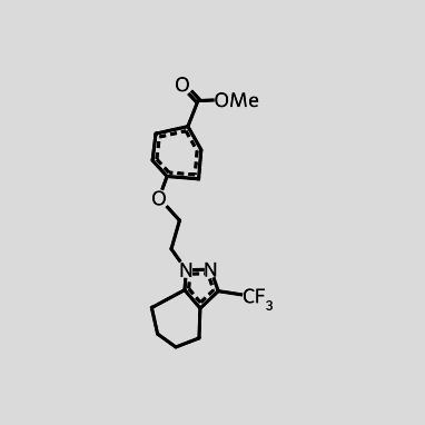 COC(=O)c1ccc(OCCn2nc(C(F)(F)F)c3c2CCCC3)cc1